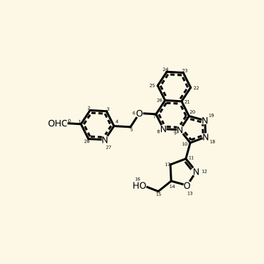 O=Cc1ccc(COc2nn3c(C4=NOC(CO)C4)nnc3c3ccccc23)nc1